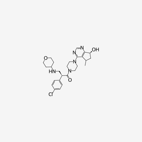 CC1C[C@H](O)c2ncnc(N3CCN(C(=O)[C@H](CNC4CCOCC4)c4ccc(Cl)cc4)CC3)c21